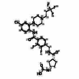 O=C(O)N[C@H]1CC[C@@H](C(=O)NCc2ccc(C(=O)Nc3ccc(Cl)cc3N3CCN(CCC(F)(F)F)CC3)c(F)c2F)C1